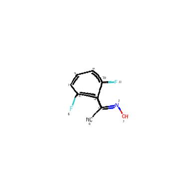 N#CC(=NO)c1c(F)cccc1F